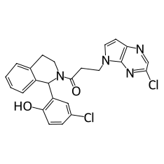 O=C(CCn1ccc2ncc(Cl)nc21)N1CCc2ccccc2C1c1cc(Cl)ccc1O